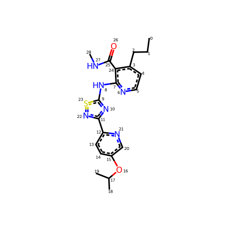 CCCc1ccnc(Nc2nc(-c3ccc(OC(C)C)cn3)ns2)c1C(=O)NC